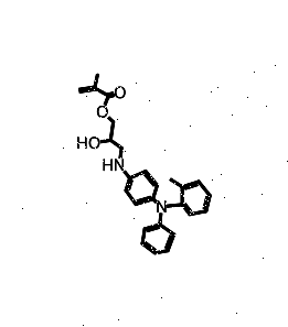 C=C(C)C(=O)OCC(O)CNc1ccc(N(c2ccccc2)c2ccccc2C)cc1